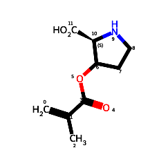 C=C(C)C(=O)OC1CCN[C@@H]1C(=O)O